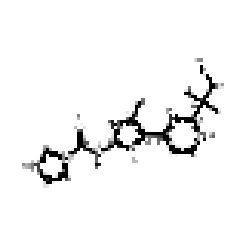 Cc1nc(NC(=O)n2ccnc2)sc1-c1ccnc(C(C)(C)CF)n1